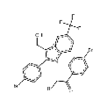 O=C(CBr)c1ccc(Br)cc1.OCc1c(-c2ccc(Br)cc2)nc2ccc(C(F)(F)F)cn12